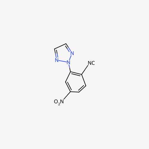 [C-]#[N+]c1ccc([N+](=O)[O-])cc1-n1nccn1